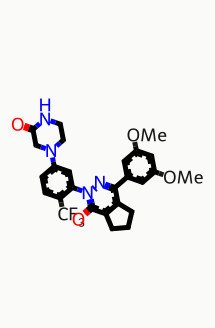 COc1cc(OC)cc(-c2nn(-c3cc(N4CCNC(=O)C4)ccc3C(F)(F)F)c(=O)c3c2CCC3)c1